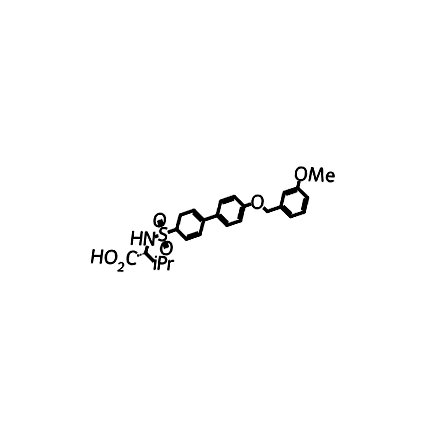 COc1cccc(COc2ccc(C3=CCC(S(=O)(=O)N[C@@H](C(=O)O)C(C)C)C=C3)cc2)c1